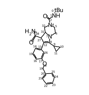 CC(C)(C)NC(=O)N1CCN2C(C3CC3)=C(c3cccc(OCc4ccccc4)c3)C(C(N)=O)C2C1